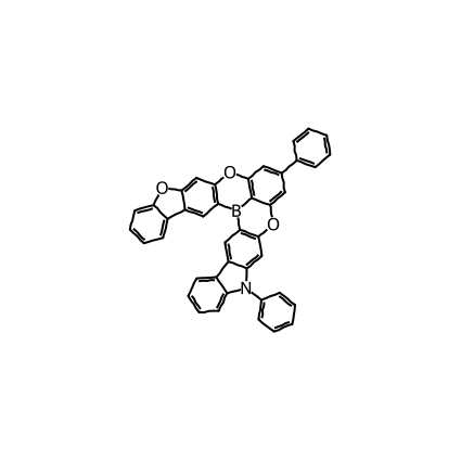 c1ccc(-c2cc3c4c(c2)Oc2cc5c(cc2B4c2cc4c(cc2O3)oc2ccccc24)c2ccccc2n5-c2ccccc2)cc1